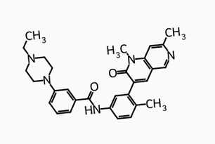 CCN1CCN(c2cccc(C(=O)Nc3ccc(C)c(-c4cc5cnc(C)cc5n(C)c4=O)c3)c2)CC1